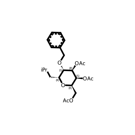 CC(=O)OC[C@H]1O[C@H](CC(C)C)[C@H](OCc2ccccc2)[C@@H](OC(C)=O)[C@H]1OC(C)=O